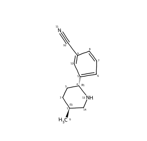 C[C@H]1CC[C@H](c2cccc(C#N)c2)NC1